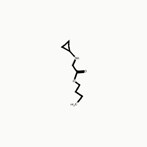 CCCCOC(=O)[CH]NC1CC1